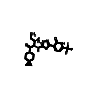 CC[C@H](C)[C@H](Nc1nnc(-c2ccc(C(F)(F)F)[nH]c2=O)o1)C(=O)N1CCC2(CC1)CC2